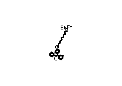 CCN(CC)CCCCCCCCCCCOc1ccc(/C(=C(/Cl)c2ccccc2)c2ccccc2)cc1